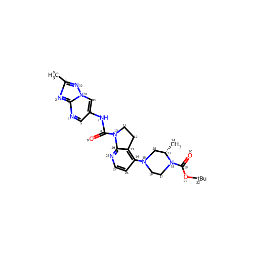 Cc1nc2ncc(NC(=O)N3CCc4c(N5CCN(C(=O)OC(C)(C)C)[C@@H](C)C5)ccnc43)cn2n1